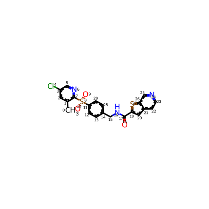 Cc1cc(Cl)cnc1S(=O)(=O)c1ccc(CNC(=O)c2cc3ccncc3s2)cc1